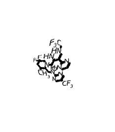 CC1CC(F)(F)CN(C(=O)C(=N)/C(=C\NCC(F)(F)F)c2ncccn2)C1CNc1ncc(C(F)(F)F)cn1